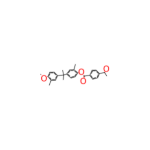 COc1ccc(C(C)(C)c2ccc(OC(=O)c3ccc(C(C)=O)cc3)c(C)c2)cc1C